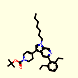 CCCCCCCn1cc(C2=CCN(C(=O)OC(C)(C)C)CC2)c2cc(-c3c(CC)cccc3CC)ncc21